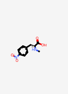 CN[C@@H](Cc1ccc([N+](=O)[O-])cc1)C(=O)O